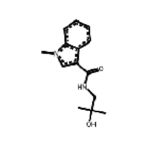 Cn1cc(C(=O)NCC(C)(C)O)c2ccccc21